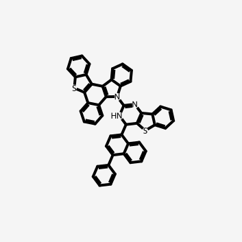 c1ccc(-c2ccc(C3NC(n4c5ccccc5c5c6c7ccccc7sc6c6ccccc6c54)=Nc4c3sc3ccccc43)c3ccccc23)cc1